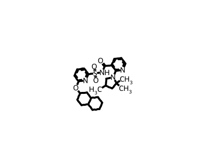 CC1CN(c2ncccc2C(=O)NS(=O)(=O)c2cccc(OC3CCC4CCCCC4C3)n2)C(C)(C)C1